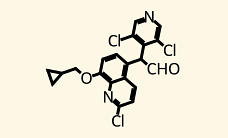 O=CC(c1c(Cl)cncc1Cl)c1ccc(OCC2CC2)c2nc(Cl)ccc12